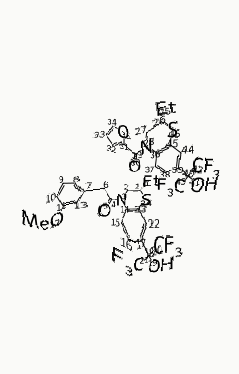 CC[C@H]1CN(C(=O)Cc2cccc(OC)c2)c2ccc(C(O)(C(F)(F)F)C(F)(F)F)cc2S1.CC[C@H]1CN(C(=O)c2ccco2)c2ccc(C(O)(C(F)(F)F)C(F)(F)F)cc2S1